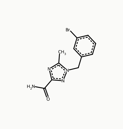 Cc1nc(C(N)=O)nn1Cc1cccc(Br)c1